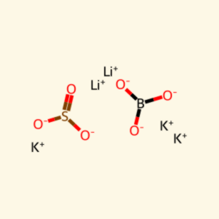 O=S([O-])[O-].[K+].[K+].[K+].[Li+].[Li+].[O-]B([O-])[O-]